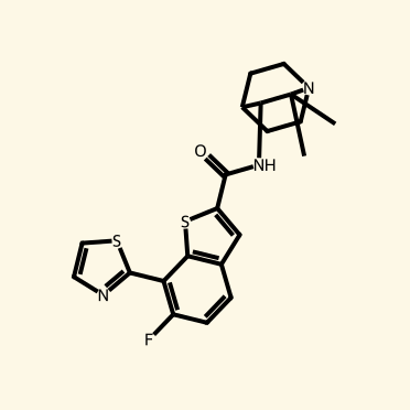 CC1(C)C(NC(=O)c2cc3ccc(F)c(-c4nccs4)c3s2)C2CCN1CC2